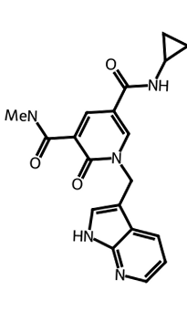 CNC(=O)c1cc(C(=O)NC2CC2)cn(Cc2c[nH]c3ncccc23)c1=O